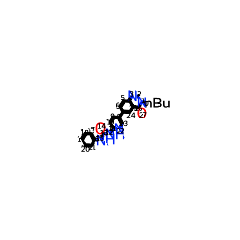 CCCCn1cnc2ccc(-c3ccc(NC(=O)Nc4ccccc4)nc3)cc2c1=O